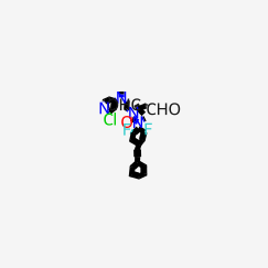 CN(CCN(C(=O)N(C)c1c(F)cc(C#Cc2ccccc2)cc1F)C(C)(C=O)CC=O)c1ccnc(Cl)c1